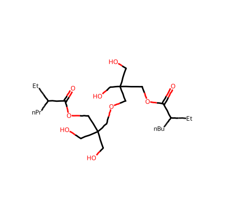 CCCCC(CC)C(=O)OCC(CO)(CO)COCC(CO)(CO)COC(=O)C(CC)CCC